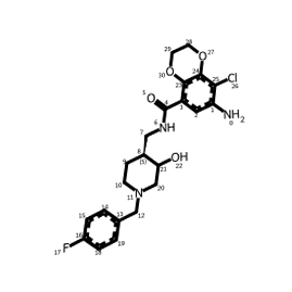 Nc1cc(C(=O)NC[C@@H]2CCN(Cc3ccc(F)cc3)CC2O)c2c(c1Cl)OCCO2